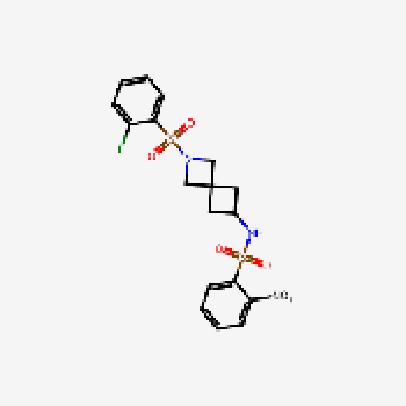 O=[N+]([O-])c1ccccc1S(=O)(=O)NC1CC2(C1)CN(S(=O)(=O)c1ccccc1F)C2